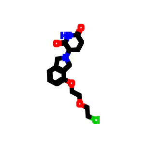 O=C1CCC(N2Cc3cccc(OCCOCCCl)c3C2)C(=O)N1